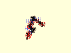 C=CC(=O)OCC(C)OC(=O)NCC1(C)CC(NC(=O)OC(C)COC(=O)NCC2(C)CC(NC(=O)OCCCCOC(C)=O)CC(C)(C)C2)CC(C)(C)C1